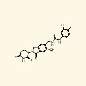 Cc1ccc(NC(=O)NCc2cc3c(cc2O)C(=O)N(C2CCC(=O)NC2=O)C3)cc1Cl